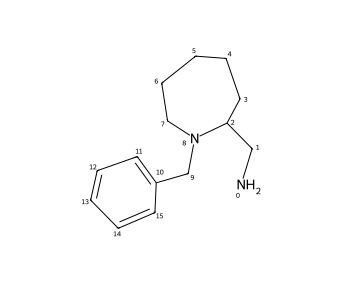 NCC1CCCCCN1Cc1ccccc1